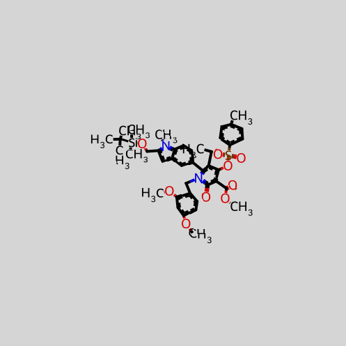 CCc1c(OS(=O)(=O)c2ccc(C)cc2)c(C(=O)OC)c(=O)n(Cc2ccc(OC)cc2OC)c1-c1ccc2c(c1)cc(CO[Si](C)(C)C(C)(C)C)n2C